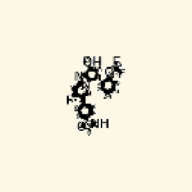 CS(=N)(=O)c1ccc(-c2cn3c4c(nc3cc2F)[C@H](O)C[C@@H]4c2ccccc2OC(F)F)cc1